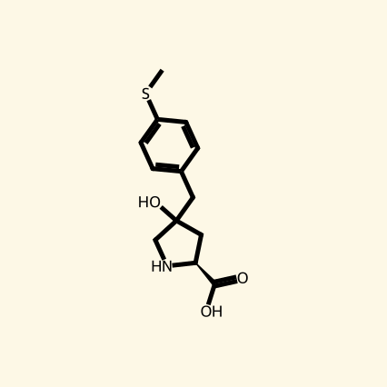 CSc1ccc(CC2(O)CN[C@H](C(=O)O)C2)cc1